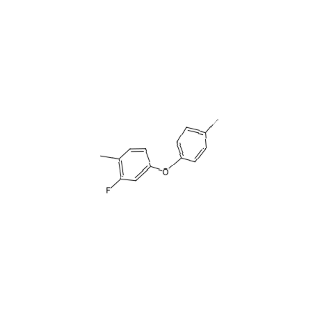 Cc1ccc(Oc2ccc(C)c(F)c2)cc1